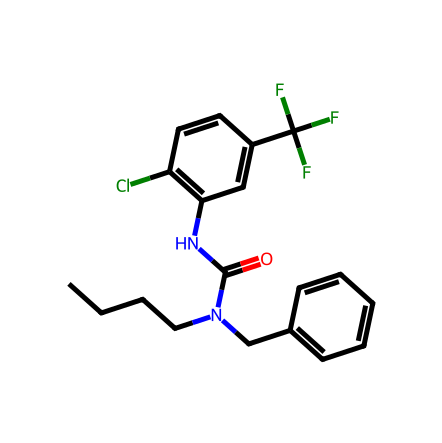 CCCCN(Cc1ccccc1)C(=O)Nc1cc(C(F)(F)F)ccc1Cl